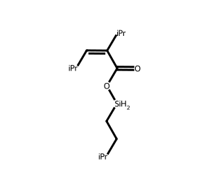 CC(C)C=C(C(=O)O[SiH2]CCC(C)C)C(C)C